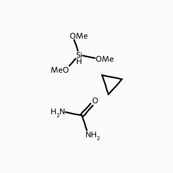 C1CC1.CO[SiH](OC)OC.NC(N)=O